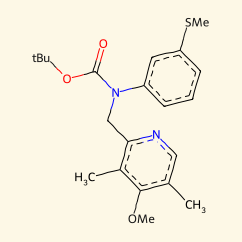 COc1c(C)cnc(CN(C(=O)OC(C)(C)C)c2cccc(SC)c2)c1C